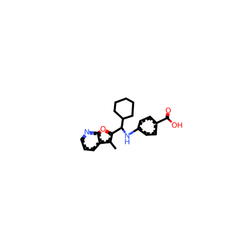 Cc1c(C(Nc2ccc(C(=O)O)cc2)C2CCCCC2)oc2ncccc12